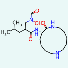 CC(C)CC(CN(O)C=O)C(=O)N[C@H]1CCCCNCCCCCNC1=O